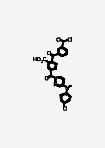 CN(c1ccc(Cl)cc1)c1ccc(C(=O)c2ccc(C(=O)c3cccc(C(Cl)Cl)c3)c(C(=O)O)c2)nc1